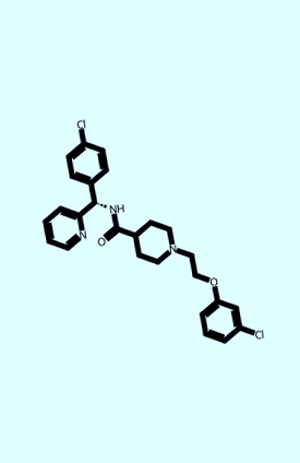 O=C(N[C@@H](c1ccc(Cl)cc1)c1ccccn1)C1CCN(CCOc2cccc(Cl)c2)CC1